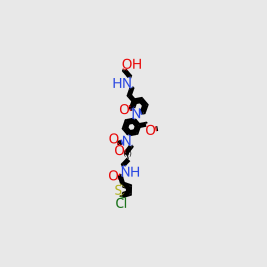 COCc1cc(N2C[C@H](CCNC(=O)c3ccc(Cl)s3)OC2=O)ccc1-n1cccc(CCNCCO)c1=O